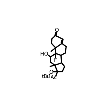 CC(=O)C1(OC(C)(C)C)CCC2C3CCC4=CC(=O)CCC4(C)C3(F)C(O)CC21C